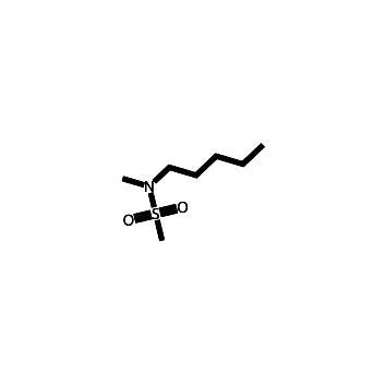 CCCCCN(C)S(C)(=O)=O